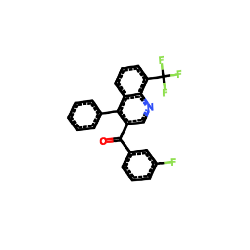 O=C(c1cccc(F)c1)c1cnc2c(C(F)(F)F)cccc2c1-c1ccccc1